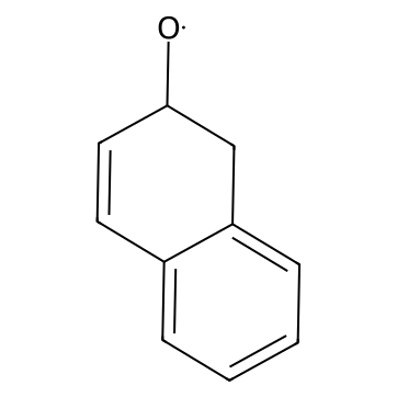 [O]C1C=Cc2ccccc2C1